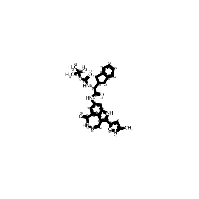 Cc1cc(-c2[nH]c3cc(NC(=O)[C@H](NC(=O)OC(C)(C)C)C4Cc5ccccc5C4)cc4c3c2C=NNC4=O)on1